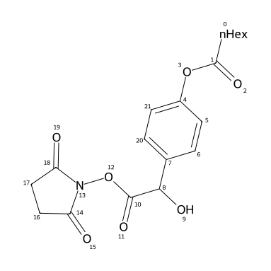 CCCCCCC(=O)Oc1ccc(C(O)C(=O)ON2C(=O)CCC2=O)cc1